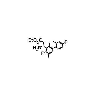 CCOC(=O)CC(N)c1c(C)c(-c2ccc(F)cc2C)cc(C)c1F